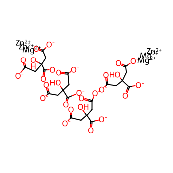 O=C([O-])CC(O)(CC(=O)[O-])C(=O)[O-].O=C([O-])CC(O)(CC(=O)[O-])C(=O)[O-].O=C([O-])CC(O)(CC(=O)[O-])C(=O)[O-].O=C([O-])CC(O)(CC(=O)[O-])C(=O)[O-].[Mg+2].[Mg+2].[Mg+2].[Zn+2].[Zn+2].[Zn+2]